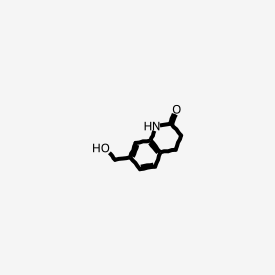 O=C1CCc2ccc(CO)cc2N1